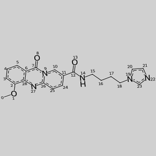 COc1cccc2c(=O)n3cc(C(=O)NCCCCn4ccnc4)ccc3nc12